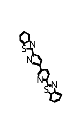 c1ccc2sc(-c3ccc(-c4ccc(-c5nc6ccccc6s5)nc4)cn3)nc2c1